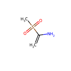 C=C(N)S(C)(=O)=O